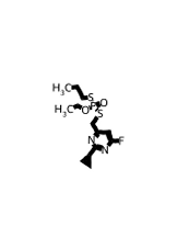 CCCSP(=O)(OCC)SCc1cc(F)nc(C2CC2)n1